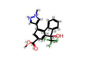 COC(=O)c1cc(-c2cnn(C)c2)c2c(c1)C(O)(C(F)(F)F)c1ccccc1-2